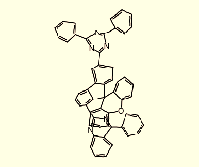 c1ccc(-c2nc(-c3ccccc3)nc(-c3ccc4c(c3)-c3cccc(-c5nc(-c6ccccc6)c6ccccc6n5)c3C43c4ccccc4Oc4ccccc43)n2)cc1